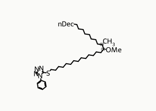 CCCCCCCCCCCCCCCCCC[C@H](C)[C@H](CCCCCCCCCCCCCCSc1nnnn1-c1ccccc1)OC